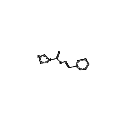 S=C(S/C=C/c1ccccc1)n1ccnc1